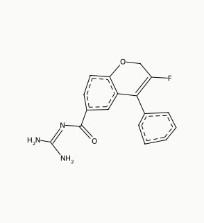 NC(N)=NC(=O)c1ccc2c(c1)C(c1ccccc1)=C(F)CO2